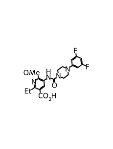 CCc1nc(OC)c(NC(=O)N2CCN(c3cc(F)cc(F)c3)CC2)cc1C(=O)O